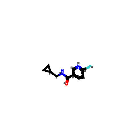 O=C(NCC1CC1)c1ccc(F)nc1